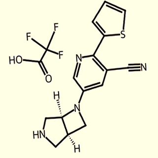 N#Cc1cc(N2C[C@H]3CNC[C@H]32)cnc1-c1cccs1.O=C(O)C(F)(F)F